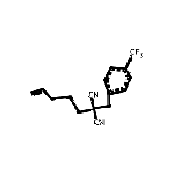 C=CCCCC(C#N)(C#N)Cc1ccc(C(F)(F)F)cc1